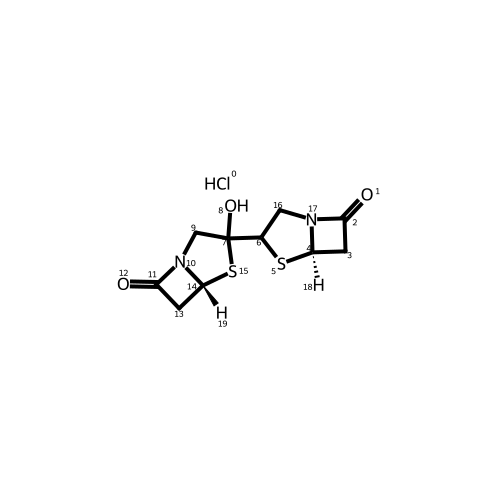 Cl.O=C1C[C@H]2SC(C3(O)CN4C(=O)C[C@H]4S3)CN12